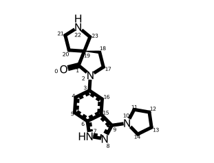 O=C1N(c2ccc3[nH]nc(N4CCCC4)c3c2)CC[C@]12CCNC2